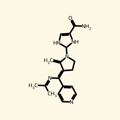 C=C1/C(=C(\N=C(C)C)c2ccncc2)CCN1C1NC=C(C(N)=O)N1